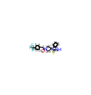 O=C(Cc1ccc(C(F)(F)F)cc1)N1CCC(n2c(=S)[nH]c3ccccc32)CC1